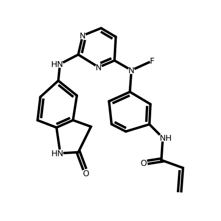 C=CC(=O)Nc1cccc(N(F)c2ccnc(Nc3ccc4c(c3)CC(=O)N4)n2)c1